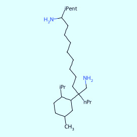 CCCC(C)C(N)CCCCCCCCC(CN)(CCC)C1CC(C)CCC1C(C)C